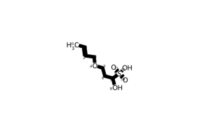 CC=CCOCCC(O)S(=O)(=O)O